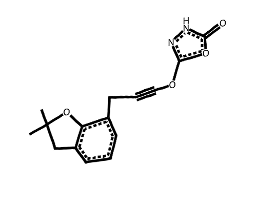 CC1(C)Cc2cccc(CC#COc3n[nH]c(=O)o3)c2O1